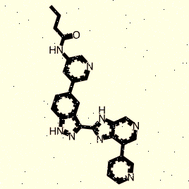 CCCC(=O)Nc1cncc(-c2ccc3[nH]nc(-c4nc5c(-c6cccnc6)cncc5[nH]4)c3c2)c1